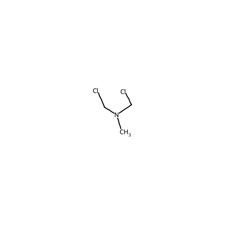 CN(CCl)CCl